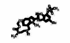 CCN(CCN(C)C(=O)OCC(Cl)(Cl)Cl)Cc1cccc2cc(C(=O)Nc3cc(C(C)(C)C)cc(NS(C)(=O)=O)c3OC)n(C)c12